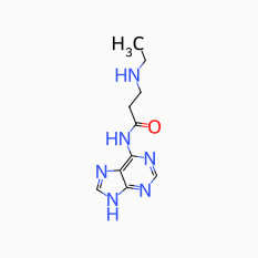 CCNCCC(=O)Nc1ncnc2[nH]cnc12